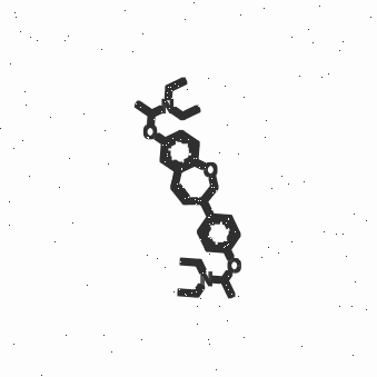 CCN(CC)C(C)Oc1ccc(C2C=Cc3cc(OC(C)N(CC)CC)ccc3OC2)cc1